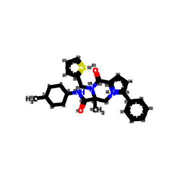 CC1CCC(NC(=O)C2(C)Cn3c(ccc3-c3ccccc3)C(=O)N2Cc2cccs2)CC1